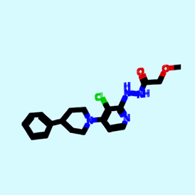 COCC(=O)NNc1nccc(N2CCC(c3ccccc3)CC2)c1Cl